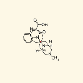 CN1C[C@H]2C[C@@H](n3c(=O)c(C(=O)O)nc4ccccc43)C[C@@H](C1)N2C1CCCCCCC1